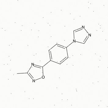 Cc1noc(-c2ccc(-n3cnnc3)cc2)n1